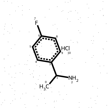 CC(N)c1ccc(F)cc1.Cl